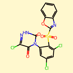 O=c1[nH]nc(Cl)c(=O)n1-c1cc(Cl)cc(Cl)c1S(=O)(=O)c1nc2ccccc2o1